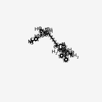 Cc1ncsc1-c1ccc(CNC(=O)[C@@H]2C[C@@H](O)CN2C(=O)[C@@H](NC(=O)CCCCCCCCCC(=O)N2CC[C@H]3CC[C@@H](C(=O)N[C@@H](CCC(N)=O)C(=O)NC(c4ccccc4)c4ccccc4)N3C(=O)[C@@H](N)C2)C(C)(C)C)cc1